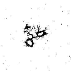 CC(C)(C)[Si](C)(C)OCC(Oc1ccc(Cl)c(N)c1)c1ccccc1